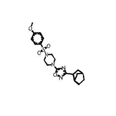 COc1ccc(S(=O)(=O)N2CCN(c3nc(C4CC5CCC4C5)no3)CC2)cc1